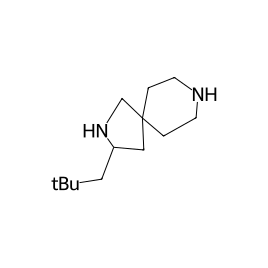 CC(C)(C)CC1CC2(CCNCC2)CN1